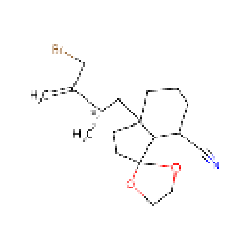 C=C(CBr)[C@@H](C)CC12CCCC(C#N)C1C1(CC2)OCCO1